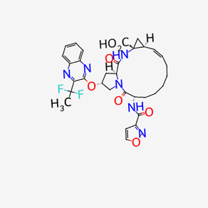 CC(F)(F)c1nc2ccccc2nc1O[C@@H]1C[C@H]2C(=O)N[C@]3(C(=O)O)C[C@H]3C=CCCCCC[C@H](NC(=O)c3ccon3)C(=O)N2C1